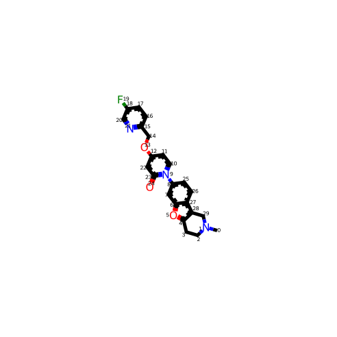 CN1CCc2oc3cc(-n4ccc(OCc5ccc(F)cn5)cc4=O)ccc3c2C1